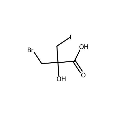 O=C(O)C(O)(CBr)CI